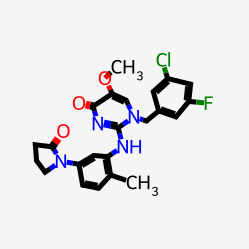 COc1cn(Cc2cc(F)cc(Cl)c2)c(Nc2cc(N3CCCC3=O)ccc2C)nc1=O